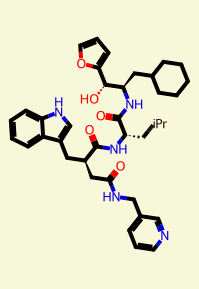 CC(C)C[C@H](NC(=O)[C@@H](CC(=O)NCc1cccnc1)Cc1c[nH]c2ccccc12)C(=O)N[C@H](CC1CCCCC1)[C@H](O)c1ccco1